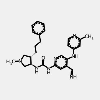 Cc1cc(Nc2cnc(NC(=O)N[C@H]3CN(C)C[C@@H]3CCCc3ccccc3)cc2C=N)ccn1